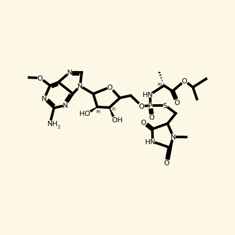 COc1nc(N)nc2c1ncn2C1OC(COP(=O)(N[C@H](C)C(=O)OC(C)C)SCC2C(=O)NC(=O)N2C)[C@@H](O)[C@H]1O